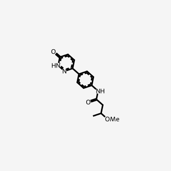 COC(C)CC(=O)Nc1ccc(-c2ccc(=O)[nH]n2)cc1